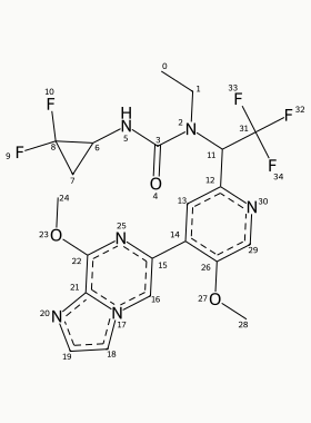 CCN(C(=O)NC1CC1(F)F)C(c1cc(-c2cn3ccnc3c(OC)n2)c(OC)cn1)C(F)(F)F